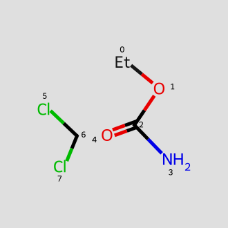 CCOC(N)=O.ClCCl